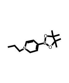 CCCN1C=CC(B2OC(C)(C)C(C)(C)O2)=CC1